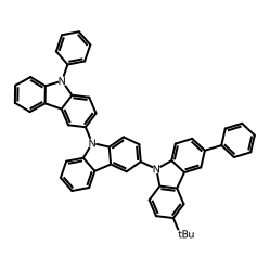 CC(C)(C)c1ccc2c(c1)c1cc(-c3ccccc3)ccc1n2-c1ccc2c(c1)c1ccccc1n2-c1ccc2c(c1)c1ccccc1n2-c1ccccc1